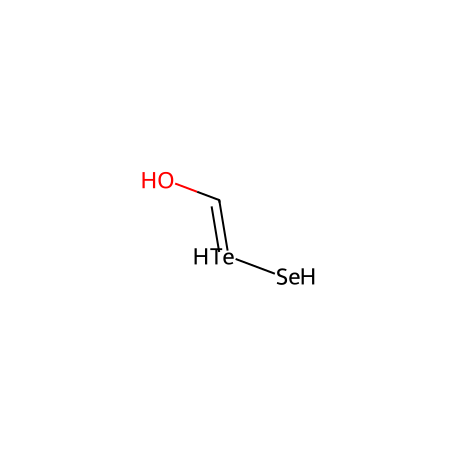 OC=[TeH][SeH]